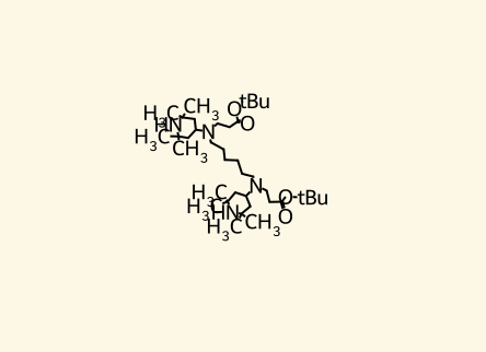 CC1(C)CC(N(CCCCCCN(CCC(=O)OC(C)(C)C)C2CC(C)(C)NC(C)(C)C2)CCC(=O)OC(C)(C)C)CC(C)(C)N1